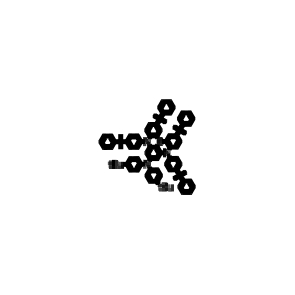 CC(C)(C)c1ccc(N(c2ccc(C(C)(C)C)cc2)c2cc3c4c(c2)N(c2ccc(C(C)(C)c5ccccc5)cc2)c2ccc(C(C)(C)c5ccccc5)cc2B4c2cc(C(C)(C)c4ccccc4)ccc2N3c2ccc(C(C)(C)c3ccccc3)cc2)cc1